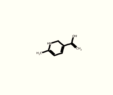 C=C(O)C1=CC=C(C)NC1